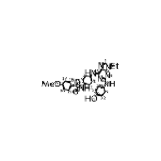 CCn1cnc2c(Nc3ccc(NS(=O)(=O)c4ccc(OC)cc4)cc3)nc(NC3CCC(O)CC3)nc21